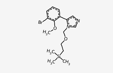 COc1c(Br)cccc1-c1cncn1COCC[Si](C)(C)C